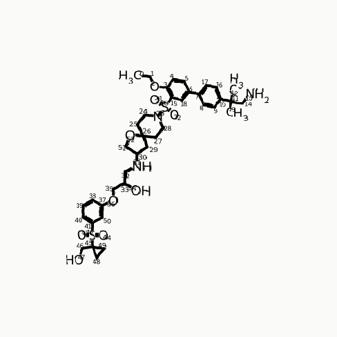 CCOc1ccc(-c2ccc(C(C)(C)CN)cc2)cc1S(=O)(=O)N1CCC2(CC1)CC(NCC(O)COc1cccc(S(=O)(=O)C3(CO)CC3)c1)CO2